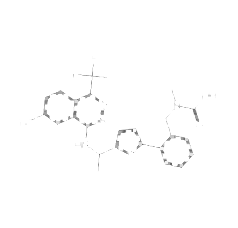 CC(Nc1nnc(C(F)(F)F)c2ccc(Br)cc12)c1ccc(-c2ccccc2CN(C)C(=O)O)s1